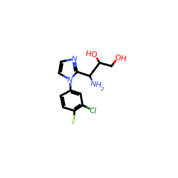 NC(c1nccn1-c1ccc(F)c(Cl)c1)C(O)CO